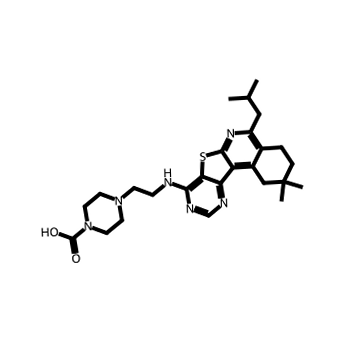 CC(C)Cc1nc2sc3c(NCCN4CCN(C(=O)O)CC4)ncnc3c2c2c1CCC(C)(C)C2